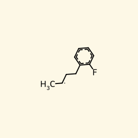 C[CH]CCc1ccccc1F